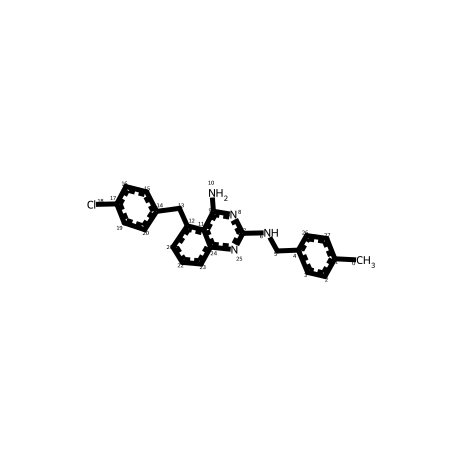 Cc1ccc(CNc2nc(N)c3c(Cc4ccc(Cl)cc4)cccc3n2)cc1